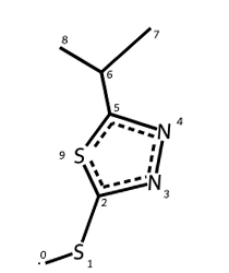 [CH2]Sc1nnc(C(C)C)s1